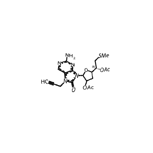 C#CCn1c(=O)n(C2OC([C@H](CSC)OC(C)=O)CC2OC(C)=O)c2nc(N)ncc21